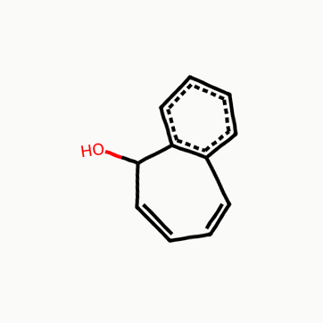 OC1C=CC=Cc2ccccc21